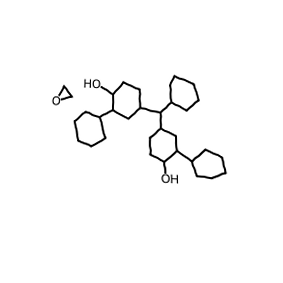 C1CO1.OC1CCC(C(C2CCCCC2)C2CCC(O)C(C3CCCCC3)C2)CC1C1CCCCC1